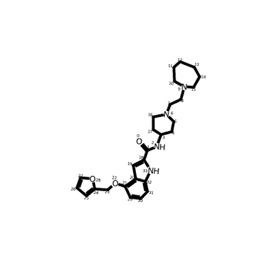 O=C(NC1CCN(CCN2CCCCCC2)CC1)c1cc2c(OCc3ccco3)cccc2[nH]1